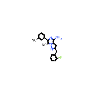 N#Cc1cccc(-c2nc(N)c3cc(Cc4ccccc4F)nn3c2C#N)c1